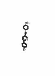 CCCC[C@H]1CC[C@H](C#Cc2ccc(-c3ccc(Br)cc3)nc2)CC1